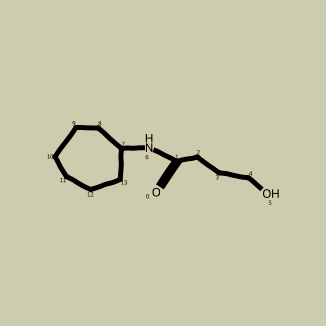 O=C(CCCO)NC1CCCCCC1